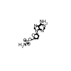 Nc1ncnc2c1ncn2[C@H]1CC[C@@H](COS(N)(=O)=O)O1